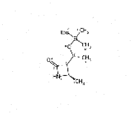 C[C@H]1NC(=O)[C@@H]1[C@@H](C)O[Si](C)(C)C(C)(C)C